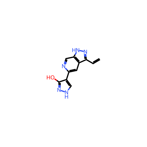 C=Cc1n[nH]c2cnc(-c3c[nH]nc3O)cc12